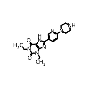 CCn1c(=O)c2[nH]c(-c3ccc(N4CCNCC4)nc3)nc2n(CC)c1=O